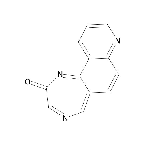 O=c1cncc2ccc3ncccc3c2n1